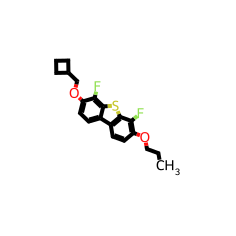 CCCOc1ccc2c(sc3c(F)c(OCC4CCC4)ccc32)c1F